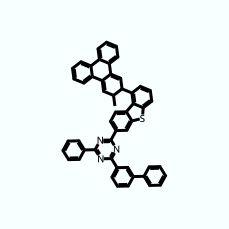 CC1C=c2c(c3ccccc3c3ccccc23)=CC1c1cccc2sc3cc(-c4nc(-c5ccccc5)nc(-c5cccc(-c6ccccc6)c5)n4)ccc3c12